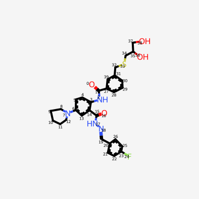 O=C(Nc1ccc(N2CCCCC2)cc1C(=O)NN=Cc1ccc(F)cc1)c1cccc(CSCC(O)CO)c1